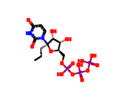 CCC[C@@]1(n2ccc(=O)[nH]c2=O)O[C@H](COP(=O)(O)OP(=O)(O)OP(=O)(O)O)[C@@H](O)[C@H]1O